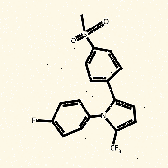 CS(=O)(=O)c1ccc(-c2ccc(C(F)(F)F)n2-c2ccc(F)cc2)cc1